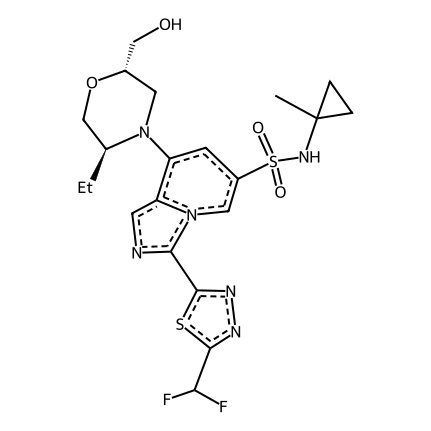 CC[C@H]1CO[C@H](CO)CN1c1cc(S(=O)(=O)NC2(C)CC2)cn2c(-c3nnc(C(F)F)s3)ncc12